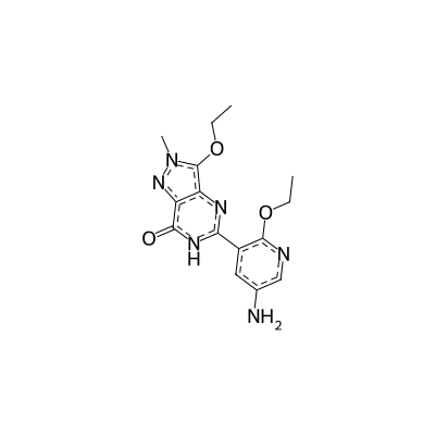 CCOc1ncc(N)cc1-c1nc2c(OCC)n(C)nc2c(=O)[nH]1